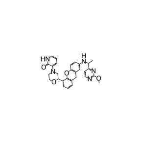 COc1nccc(C(C)Nc2ccc3c(c2)Cc2cccc(C4CN(c5ccc[nH]c5=O)CCO4)c2O3)n1